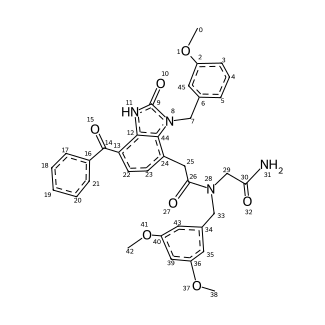 COc1cccc(Cn2c(=O)[nH]c3c(C(=O)c4ccccc4)ccc(CC(=O)N(CC(N)=O)Cc4cc(OC)cc(OC)c4)c32)c1